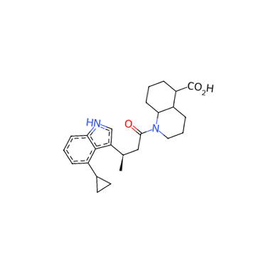 C[C@H](CC(=O)N1CCCC2C(C(=O)O)CCCC21)c1c[nH]c2cccc(C3CC3)c12